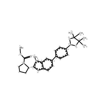 CC(C)(C)OC(=O)N1CCC[C@H]1c1nc2ccc(-c3ccc(B4OC(C)(C)C(C)(C)O4)cc3)cc2n1N